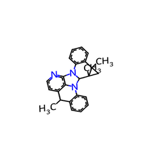 CC1c2ccccc2N2c3c1ccnc3N1c3ccccc3C3(C)CC3(C)C12